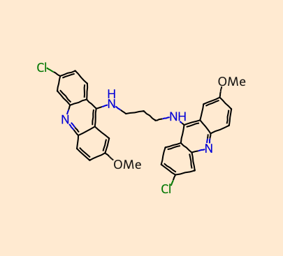 COc1ccc2nc3cc(Cl)ccc3c(NCCCNc3c4ccc(Cl)cc4nc4ccc(OC)cc34)c2c1